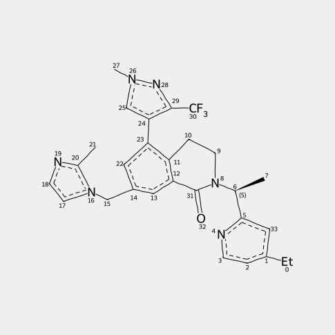 CCc1ccnc([C@H](C)N2CCc3c(cc(Cn4ccnc4C)cc3-c3cn(C)nc3C(F)(F)F)C2=O)c1